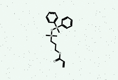 C=CC(=O)OCCC[Si](C)(C)O[Si](C)(c1ccccc1)c1ccccc1